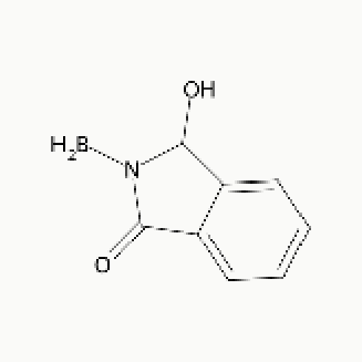 BN1C(=O)c2ccccc2C1O